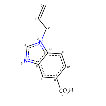 C=CCn1cnc2cc(C(=O)O)ccc21